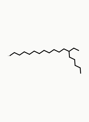 [CH2]CCCCCCCCCCCC(CC)CCCCC